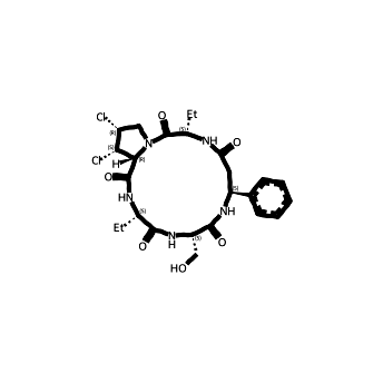 CC[C@@H]1NC(=O)[C@@H]2[C@H](Cl)[C@H](Cl)CN2C(=O)[C@H](CC)NC(=O)C[C@@H](c2ccccc2)NC(=O)[C@H](CO)NC1=O